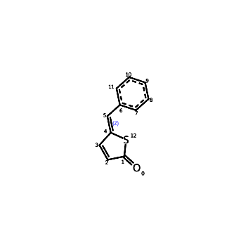 O=C1C=C/C(=C/c2ccccc2)S1